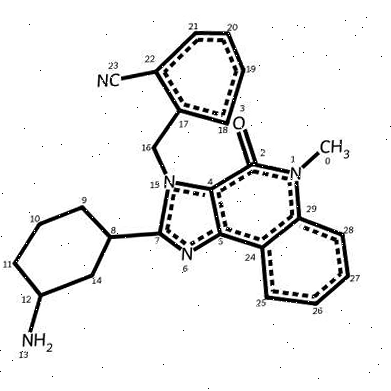 Cn1c(=O)c2c(nc(C3CCCC(N)C3)n2Cc2ccccc2C#N)c2ccccc21